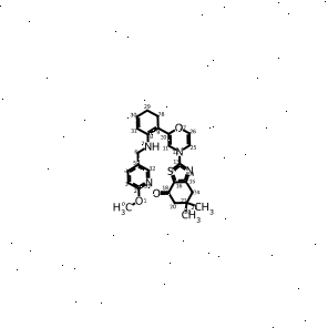 COc1ccc(CNC2=C(C3=CN(c4nc5c(s4)C(=O)CC(C)(C)C5)C=CO3)CCC=C2)cn1